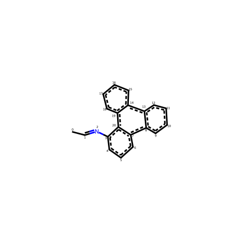 CC=Nc1cccc2c3ccccc3c3ccccc3c12